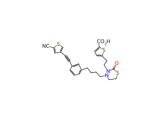 N#Cc1cc(C#Cc2cccc(CCCCN3CCSC(=O)N3CCc3ccc(C(=O)O)s3)c2)cs1